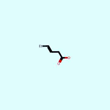 CC/C=C/CC([O])=O